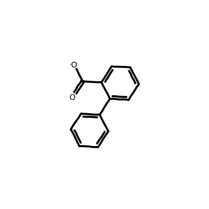 [O]C(=O)c1ccccc1-c1ccccc1